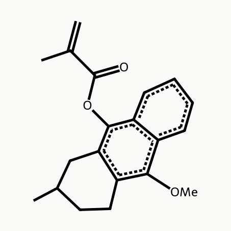 C=C(C)C(=O)Oc1c2c(c(OC)c3ccccc13)CCC(C)C2